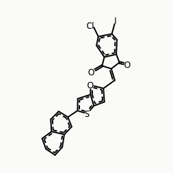 O=C1/C(=C\c2cc3sc(-c4ccc5ccccc5c4)cc3o2)C(=O)c2cc(I)c(Cl)cc21